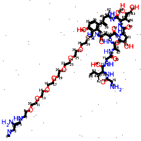 C=NC/C(N)=C/NCCOCCOCCOCCOCCOCCOCCOCCSCc1c(O)ccc(C(=C)C[C@@H](C)NC(=O)C(NC(=O)C2CC(O)CN2C(=O)C(CC(N)=O)NC(=O)C(C)NC(=O)CNC(O)C(NC(=O)CN)[C@@H](C)CC)C(C)C(O)CO)c1C